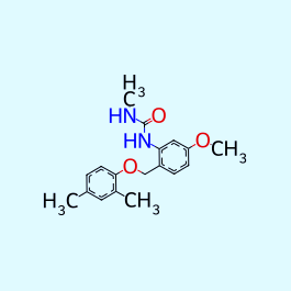 CNC(=O)Nc1cc(OC)ccc1COc1ccc(C)cc1C